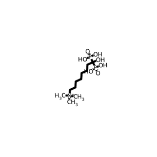 C[N+](C)(C)CCCCCCCC(O)(P(=O)(O)O)P(=O)(O)O